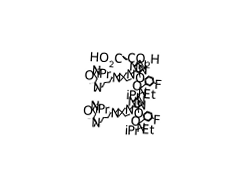 CCN(C(=O)c1cc(F)ccc1Oc1nncnc1N1CCC2(C1)CN([C@H](CCCN(C)[C@H](C)CC(=O)N(C)C)C(C)C)C2)C(C)C.CCN(C(=O)c1cc(F)ccc1Oc1nncnc1N1CCC2(C1)CN([C@H](CCCN(C)[C@H](C)CC(=O)N(C)C)C(C)C)C2)C(C)C.O=C(O)/C=C/C(=O)O